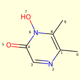 Cc1ncc(=O)n(O)c1C